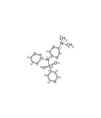 CN(C)c1ccc(N(c2ccccc2)S(=O)(=O)c2ccccc2)cc1